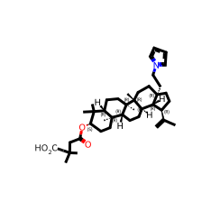 C=C(C)[C@@H]1CC[C@]2(CCn3cccc3)CC[C@]3(C)[C@H](CC[C@@H]4[C@@]5(C)CC[C@H](OC(=O)CC(C)(C)C(=O)O)C(C)(C)[C@@H]5CC[C@]43C)[C@@H]12